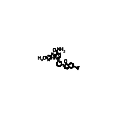 Cn1cc(Nc2nc(N3CCC[C@@H](n4ccc5cc(C6CC6)ccc5c4=O)C3)cnc2C(N)=O)cn1